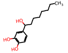 CCCCCCCC(O)c1ccc(O)c(O)c1